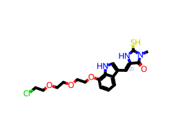 CN1C(=O)/C(=C/c2c[nH]c3c(OCCOCCOCCCl)cccc23)NC1S